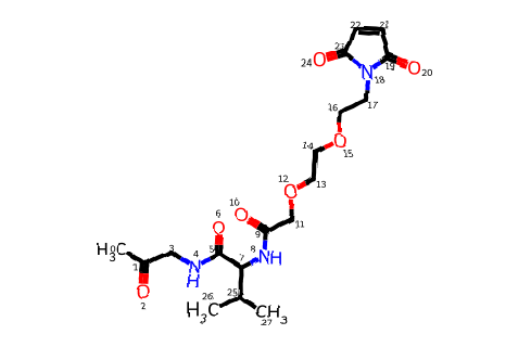 CC(=O)CNC(=O)C(NC(=O)COCCOCCN1C(=O)C=CC1=O)C(C)C